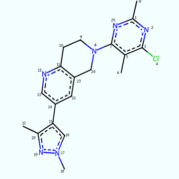 Cc1nc(Cl)c(C)c(N2CCc3ncc(-c4cn(C)nc4C)cc3C2)n1